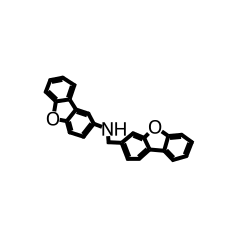 c1ccc2c(c1)oc1cc(CNc3ccc4oc5ccccc5c4c3)ccc12